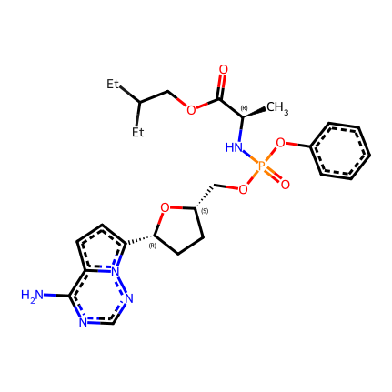 CCC(CC)COC(=O)[C@@H](C)NP(=O)(OC[C@@H]1CC[C@H](c2ccc3c(N)ncnn23)O1)Oc1ccccc1